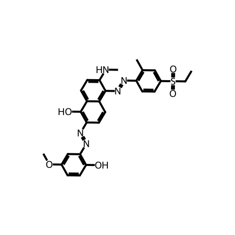 CCS(=O)(=O)c1ccc(/N=N/c2c(NC)ccc3c(O)c(/N=N/c4cc(OC)ccc4O)ccc23)c(C)c1